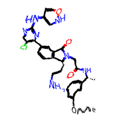 COc1cccc([C@@H](C)NC(=O)CN2C(=O)c3cc(-c4nc(NC5=CNOC=C5)ncc4Cl)ccc3[C@@H]2CCN)c1